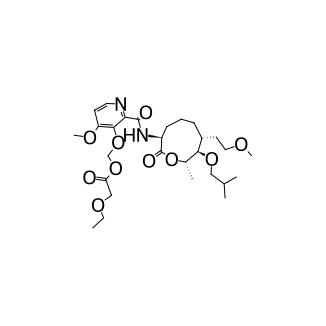 CCOCC(=O)OCOc1c(OC)ccnc1C(=O)N[C@H]1CCC[C@H](CCOC)[C@@H](OCC(C)C)[C@H](C)OC1=O